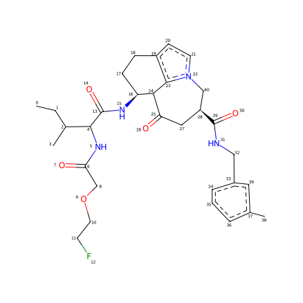 CCC(C)C(NC(=O)COCCF)C(=O)N[C@H]1CCc2ccn3c2C1C(=O)C[C@H](C(=O)NCc1cccc(C)c1)C3